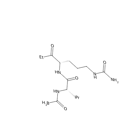 BC(=O)N[C@H](C(=O)N[C@@H](CCCNC(N)=O)C(=O)CC)C(C)C